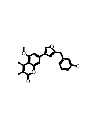 COc1cc(-c2coc(Cc3cccc(Cl)c3)c2)cc2oc(=O)c(C)c(C)c12